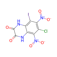 O=c1[nH]c2c(I)c([N+](=O)[O-])c(Cl)c([N+](=O)[O-])c2[nH]c1=O